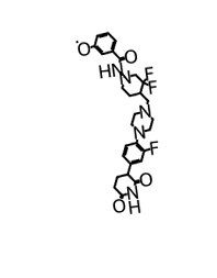 COc1cccc(C(=O)NN2CCC(CN3CCN(c4ccc(C5CCC(=O)NC5=O)cc4F)CC3)C(F)(F)C2)c1